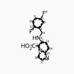 O=C(O)c1c(NCc2cc(F)ccc2F)ccc2nccn12